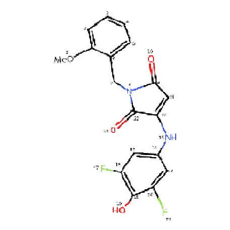 COc1ccccc1CN1C(=O)C=C(Nc2cc(F)c(O)c(F)c2)C1=O